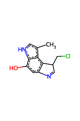 Cc1c[nH]c2c(O)cc3c(c12)C(CCl)C=N3